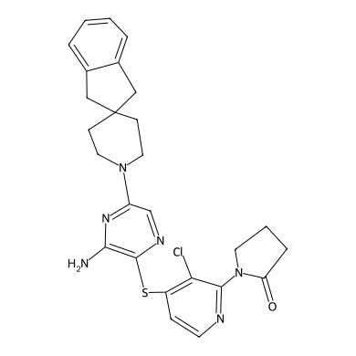 Nc1nc(N2CCC3(CC2)Cc2ccccc2C3)cnc1Sc1ccnc(N2CCCC2=O)c1Cl